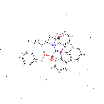 O=C(O)CC1CC(=O)N1C(C(=O)OCc1ccccc1)=P(c1ccccc1)(c1ccccc1)c1ccccc1